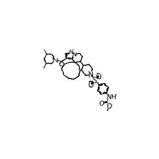 COC(=O)Nc1ccc(S(=O)(=O)N2CCC(C3CCn4ncc(C(=O)N5CC(C)CC(C)C5)c4C34CCCCCCCCC4)CC2)cc1